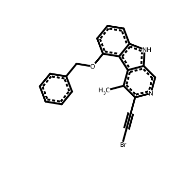 Cc1c(C#CBr)ncc2[nH]c3cccc(OCc4ccccc4)c3c12